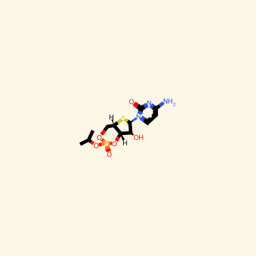 CC(C)OP1(=O)OC[C@H]2S[C@@H](n3ccc(N)nc3=O)[C@@H](O)[C@@H]2O1